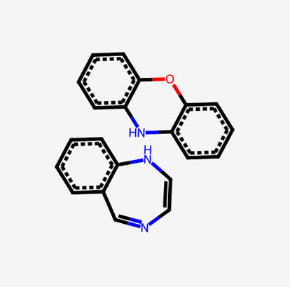 C1=CNc2ccccc2C=N1.c1ccc2c(c1)Nc1ccccc1O2